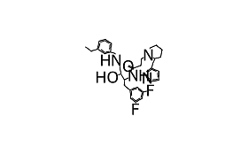 CCc1cccc(CNC[C@H](O)[C@H](Cc2cc(F)cc(F)c2)NC(=O)CCN2CCCCC2c2cccnc2)c1